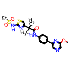 CCS(=O)(=O)Nc1nc(C(C)(C)C(=O)Nc2ccc(-c3cncc(OC(C)C)n3)cc2)cs1